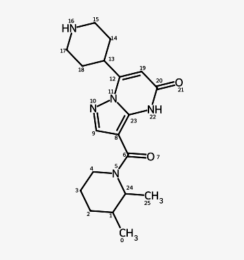 CC1CCCN(C(=O)c2cnn3c(C4CCNCC4)cc(=O)[nH]c23)C1C